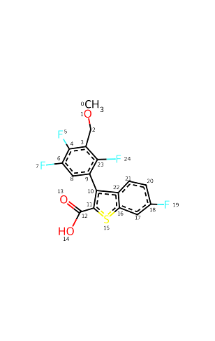 COCc1c(F)c(F)cc(-c2c(C(=O)O)sc3cc(F)ccc23)c1F